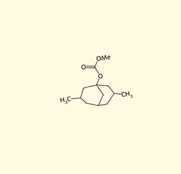 COC(=O)OC12CC(C)CC(CC(C)C1)C2